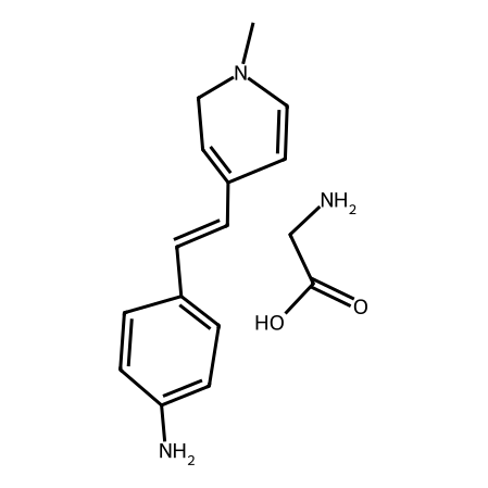 CN1C=CC(C=Cc2ccc(N)cc2)=CC1.NCC(=O)O